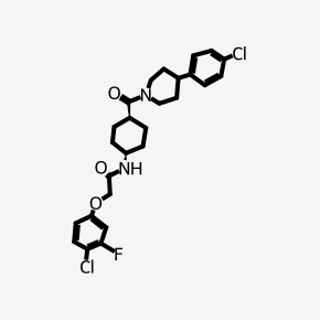 O=C(COc1ccc(Cl)c(F)c1)N[C@H]1CC[C@H](C(=O)N2CCC(c3ccc(Cl)cc3)CC2)CC1